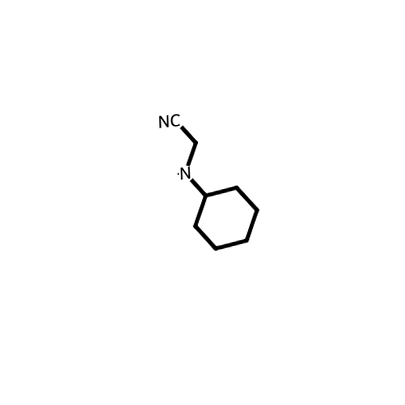 N#CC[N]C1CCCCC1